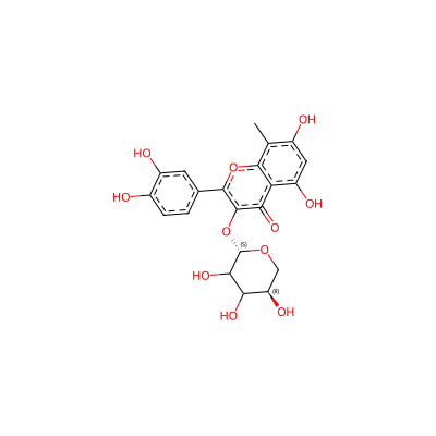 Cc1c(O)cc(O)c2c(=O)c(O[C@@H]3OC[C@@H](O)C(O)C3O)c(-c3ccc(O)c(O)c3)oc12